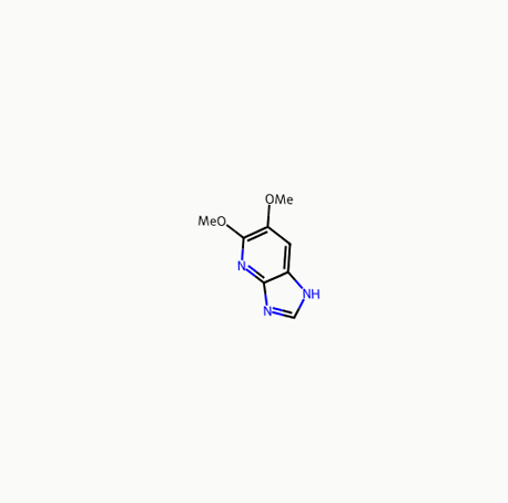 COc1cc2[nH]cnc2nc1OC